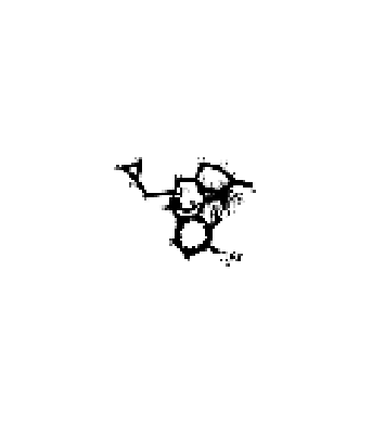 CC(=O)Oc1ccc2c3c1O[C@H]1C4(C)CCC5(C[C@@H]4C(C)=O)C(C2)N(CC2CC2)CC[C@]315